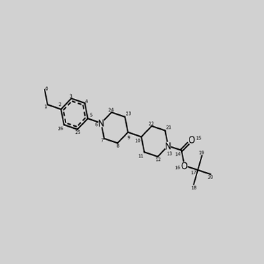 CCc1ccc(N2CCC(C3CCN(C(=O)OC(C)(C)C)CC3)CC2)cc1